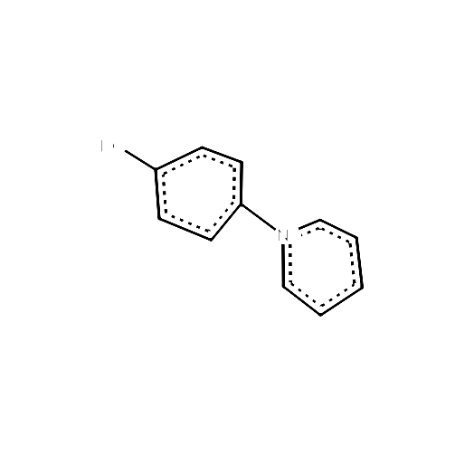 Cc1ccc(-[n+]2ccccc2)cc1.[I-]